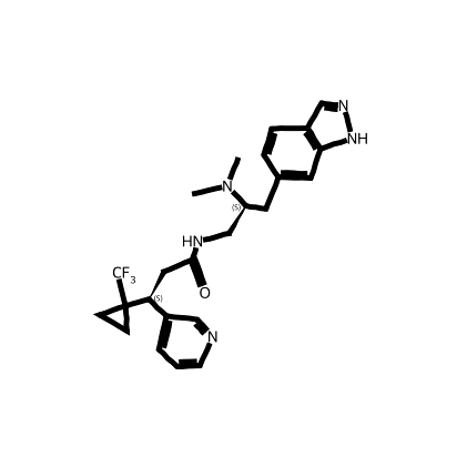 CN(C)[C@H](CNC(=O)C[C@@H](c1cccnc1)C1(C(F)(F)F)CC1)Cc1ccc2cn[nH]c2c1